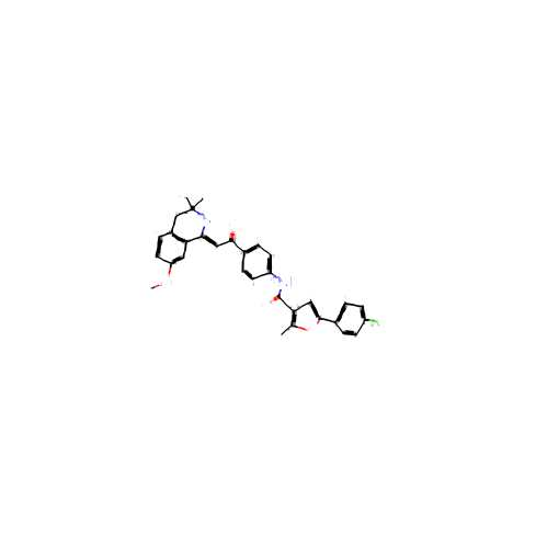 COc1ccc2c(c1)C(=CC(=O)c1ccc(NC(=O)c3cc(-c4ccc(Cl)cc4)oc3C)cc1)NC(C)(C)C2